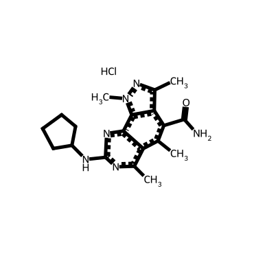 Cc1nc(NC2CCCC2)nc2c1c(C)c(C(N)=O)c1c(C)nn(C)c12.Cl